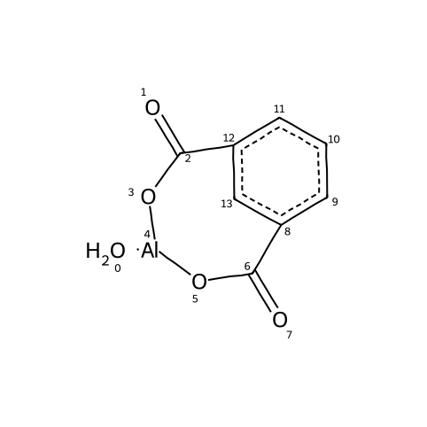 O.O=C1[O][Al][O]C(=O)c2cccc1c2